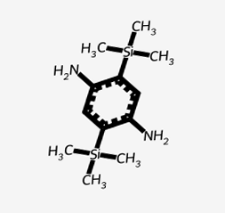 C[Si](C)(C)c1cc(N)c([Si](C)(C)C)cc1N